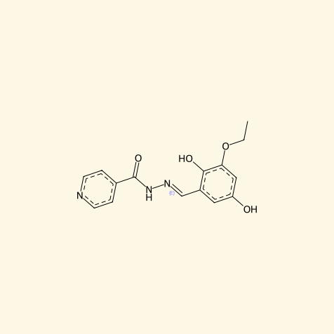 CCOc1cc(O)cc(/C=N/NC(=O)c2ccncc2)c1O